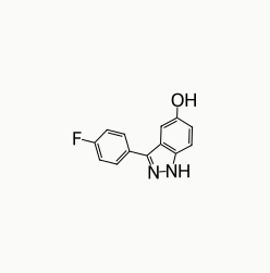 Oc1ccc2[nH]nc(-c3ccc(F)cc3)c2c1